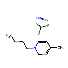 CCCCN1C=CC(C)=CC1.FC(F)F.N=S